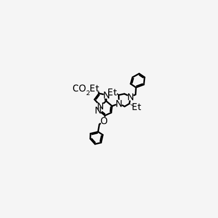 CCOC(=O)c1cn2nc(OCc3ccccc3)cc(N3C[C@@H](CC)N(Cc4ccccc4)C[C@@H]3CC)c2n1